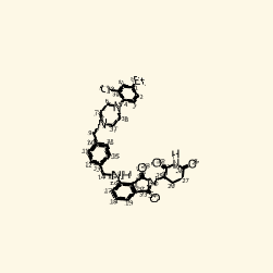 CCc1ccc(N2CCN(Cc3ccc(CNc4cccc5c4C(=O)N(C4CCC(=O)NC4=O)C5=O)cc3)CC2)c(Cl)c1